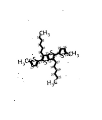 CCCCCCc1c(-c2ccc(C)s2)sc2c(CCCCCC)c(-c3ccc(C)s3)sc12